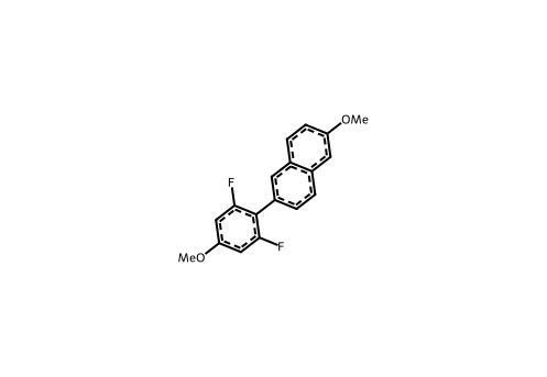 COc1cc(F)c(-c2ccc3cc(OC)ccc3c2)c(F)c1